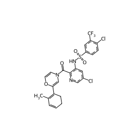 CC1=C(C2=CN(C(=O)c3ncc(Cl)cc3NS(=O)(=O)c3ccc(Cl)c(C(F)(F)F)c3)C=CO2)CCC=C1